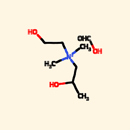 CC(O)C[N+](C)(C)CCO.O=CO